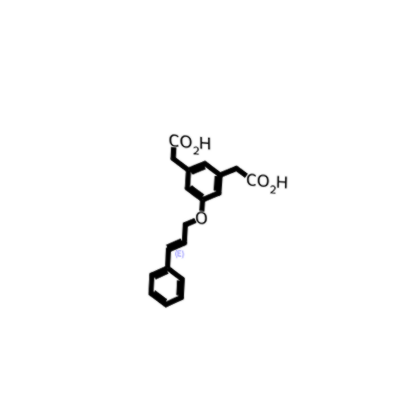 O=C(O)Cc1cc(CC(=O)O)cc(OC/C=C/c2ccccc2)c1